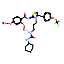 COc1ccc(C(=O)/N=c2\scc(-c3ccc(OC(F)(F)F)cc3)n2CCCNC(=O)NC2CCCCC2)c(OC)c1